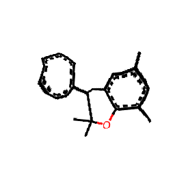 Cc1cc(C)c2c(c1)C(c1ccccc1)C(C)(C)O2